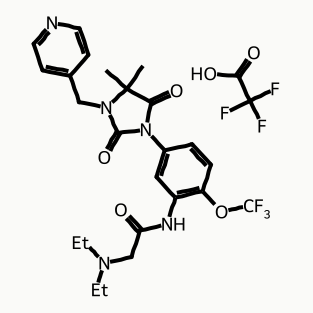 CCN(CC)CC(=O)Nc1cc(N2C(=O)N(Cc3ccncc3)C(C)(C)C2=O)ccc1OC(F)(F)F.O=C(O)C(F)(F)F